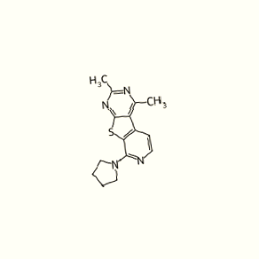 Cc1nc(C)c2c(n1)sc1c(N3CCCC3)nccc12